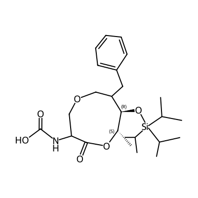 CC(C)[Si](O[C@@H]1C(Cc2ccccc2)COCC(NC(=O)O)C(=O)O[C@H]1C)(C(C)C)C(C)C